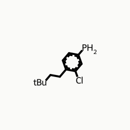 CC(C)(C)CCc1ccc(P)cc1Cl